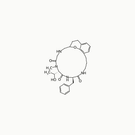 CC(O)[C@H]1C(=O)N[C@H](Cc2ccccc2)C(=O)NCCCc2cccc3c2OC(CC3)CNCC(=O)N1C